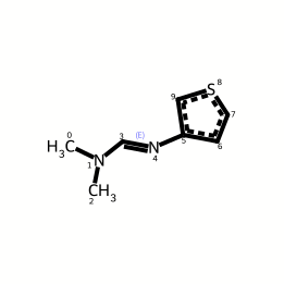 CN(C)/C=N/c1ccsc1